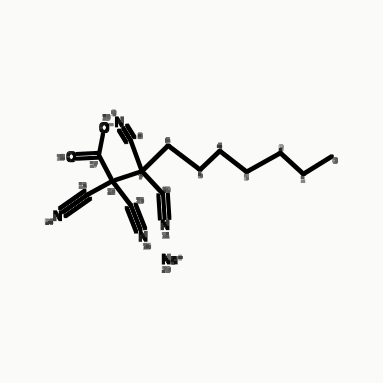 CCCCCCCC(C#N)(C#N)C(C#N)(C#N)C(=O)[O-].[Na+]